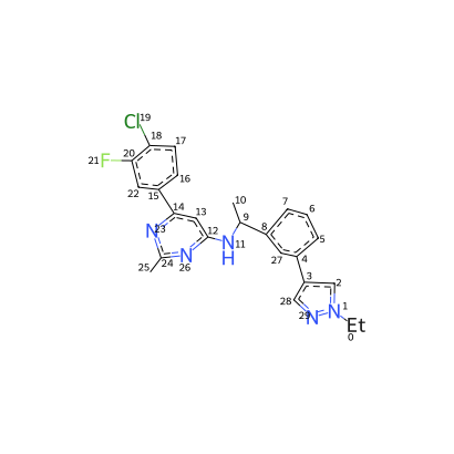 CCn1cc(-c2cccc(C(C)Nc3cc(-c4ccc(Cl)c(F)c4)nc(C)n3)c2)cn1